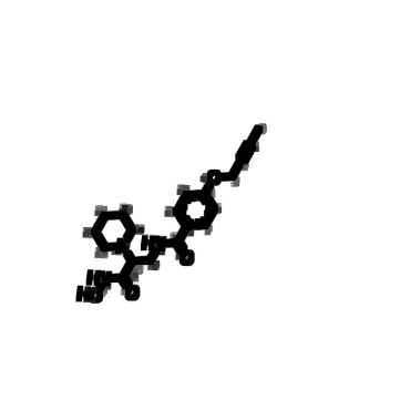 CC#CCOc1ccc(C(=O)NCC(C(=O)NO)N2CCCCC2)cc1